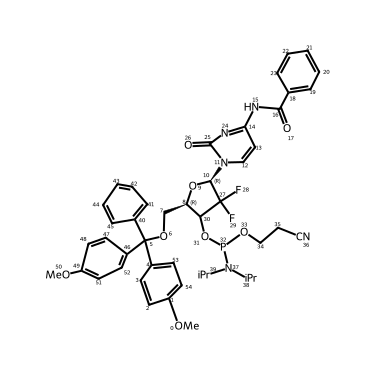 COc1ccc(C(OC[C@H]2O[C@@H](n3ccc(NC(=O)c4ccccc4)nc3=O)C(F)(F)C2OP(OCCC#N)N(C(C)C)C(C)C)(c2ccccc2)c2ccc(OC)cc2)cc1